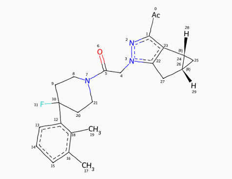 CC(=O)c1nn(CC(=O)N2CCC(F)(c3cccc(C)c3C)CC2)c2c1[C@@H]1C[C@@H]1C2